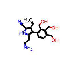 C=Cc1c(C#N)[nH]c(CCN)c1-c1ccc(CO)c(CO)c1CO